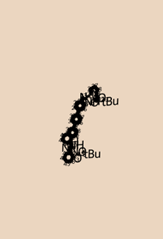 CC(C)(C)OC(=O)NC1(c2nc3c([nH]2)-c2ccc(-c4ccc(-c5ccc6nc([C@@H]7CCCN7C(=O)OC(C)(C)C)[nH]c6c5)cc4)cc2CC3)CCCCC1